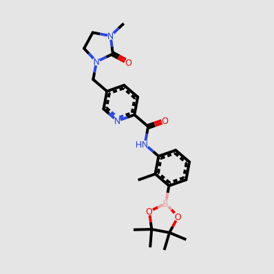 Cc1c(NC(=O)c2ccc(CN3CCN(C)C3=O)cn2)cccc1B1OC(C)(C)C(C)(C)O1